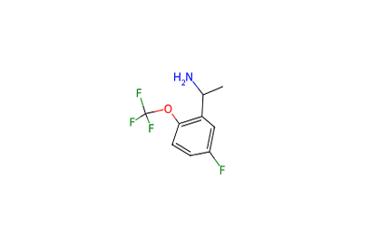 CC(N)c1cc(F)ccc1OC(F)(F)F